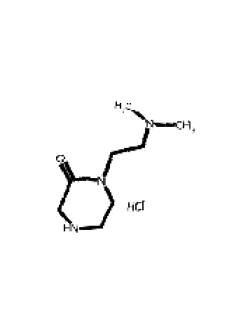 CN(C)CCN1CCNCC1=O.Cl